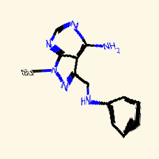 CC(C)(C)n1nc(CNc2ccccc2)c2c(N)ncnc21